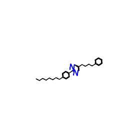 CCCCCCCCc1ccc(-c2ncc(CCCCc3ccccc3)cn2)cc1